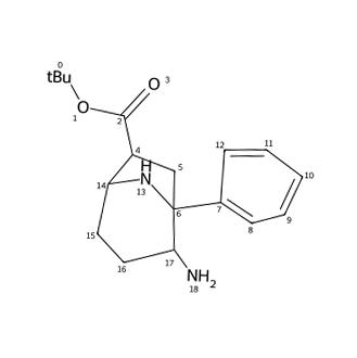 CC(C)(C)OC(=O)C1CC2(c3ccccc3)NC1CCC2N